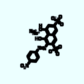 O=[N+]([O-])c1ccc(N=Nc2c(S(=O)(=O)[O-])cc3cc(S(=O)(=O)[O-])cc(O)c3c2O)cc1.[Na+].[Na+]